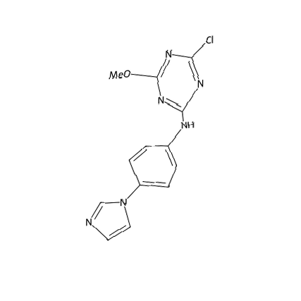 COc1nc(Cl)nc(Nc2ccc(-n3ccnc3)cc2)n1